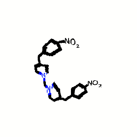 O=[N+]([O-])c1ccc(Cc2cc[n+](C[n+]3ccc(Cc4ccc([N+](=O)[O-])cc4)cc3)cc2)cc1